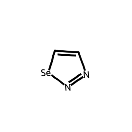 c1c[se]nn1